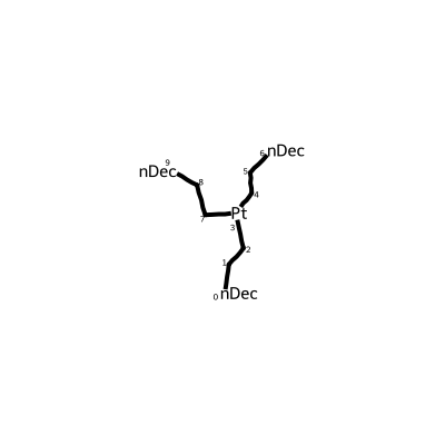 CCCCCCCCCCC[CH2][Pt]([CH2]CCCCCCCCCCC)[CH2]CCCCCCCCCCC